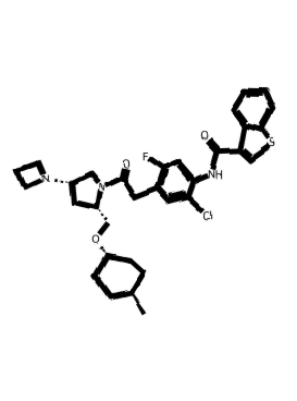 C[C@H]1CC[C@H](OC[C@@H]2C[C@H](N3CCC3)CN2C(=O)Cc2cc(Cl)c(NC(=O)c3csc4ccccc34)cc2F)CC1